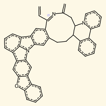 C=C/C1=N/C(=C)CC2C(CCc3cc4c(cc31)c1cccc3c5cc6oc7ccccc7c6cc5n4c13)c1ccccc1-c1cccc[n+]12